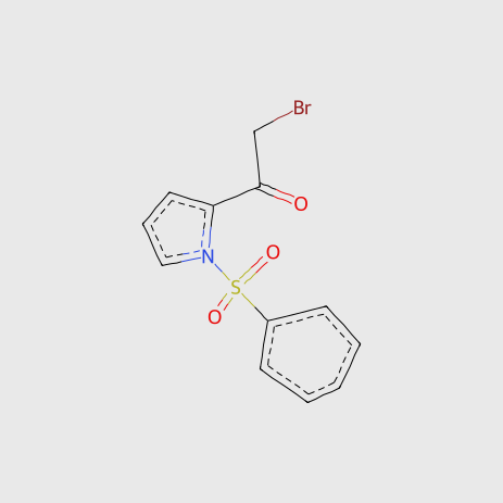 O=C(CBr)c1cccn1S(=O)(=O)c1ccccc1